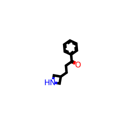 O=C(CCC1CNC1)c1ccccc1